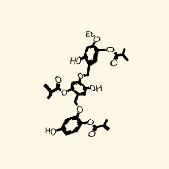 C=C(C)C(=O)Oc1cc(OCc2cc(OC(=O)C(=C)C)c(OCC)cc2O)c(O)cc1COc1cc(O)ccc1OC(=O)C(=C)C